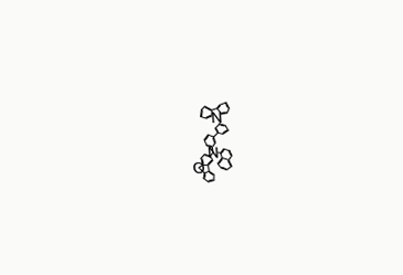 c1cc(-c2cccc(-n3c4ccccc4c4ccccc43)c2)cc(N(c2ccc3oc4ccccc4c3c2)c2cccc3ccccc23)c1